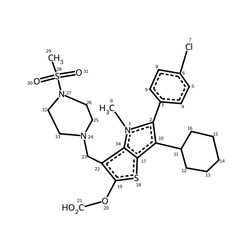 Cn1c(-c2ccc(Cl)cc2)c(C2CCCCC2)c2sc(OC(=O)O)c(CN3CCN(S(C)(=O)=O)CC3)c21